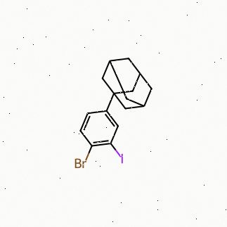 Brc1ccc(C23CC4CC(CC(C4)C2)C3)cc1I